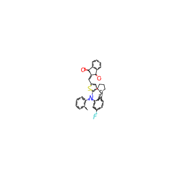 Cc1ccccc1N(c1ccc(C=C2C(=O)c3ccccc3C2=O)s1)c1cc(F)ccc1[SiH]1CCCC1